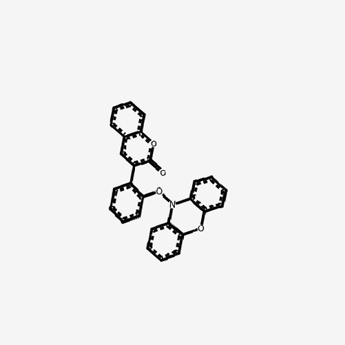 O=c1oc2ccccc2cc1-c1ccccc1ON1c2ccccc2Oc2ccccc21